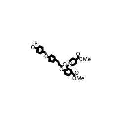 COC(=O)c1ccc(OCCCc2ccc(OCc3ccc(OC(C)C)cc3)cc2)c(C(=O)N2CCC(C(=O)OC)CC2)c1